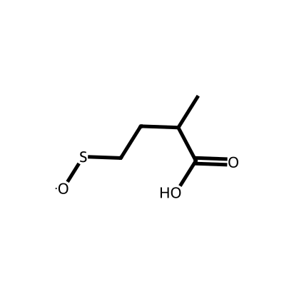 CC(CCS[O])C(=O)O